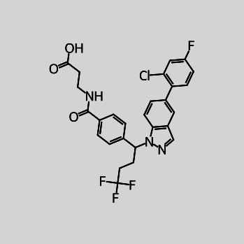 O=C(O)CCNC(=O)c1ccc(C(CCC(F)(F)F)n2ncc3cc(-c4ccc(F)cc4Cl)ccc32)cc1